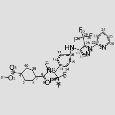 COC(=O)C1CCC(C(=O)N(C)[C@@H](c2ccc(Nc3cnn(-c4ccccn4)c3C(F)(F)F)cc2)C(F)(F)F)CC1